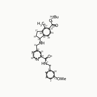 COc1cccc(CNC(=O)c2cc(CNC3CCc4c3ccc(C(=O)OC(C)(C)C)c4C)ncn2)c1